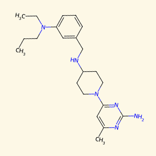 CCCN(CC)c1cccc(CNC2CCN(c3cc(C)nc(N)n3)CC2)c1